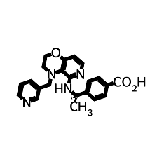 C[C@H](Nc1nccc2c1N(Cc1cccnc1)CCO2)c1ccc(C(=O)O)cc1